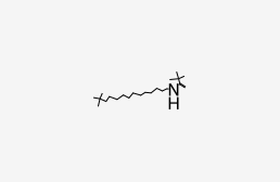 C=C(NCCCCCCCCCCCCC(C)(C)C)C(C)(C)C